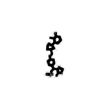 Cc1c(Cl)cccc1-c1cccc(COc2ccc(C(CC(=O)O)c3ncnn3C)cc2)c1